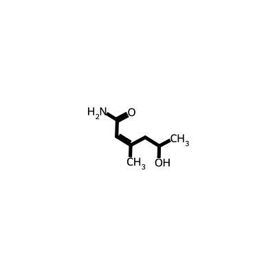 CC(=CC(N)=O)CC(C)O